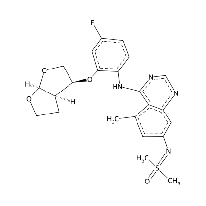 Cc1cc(N=S(C)(C)=O)cc2ncnc(Nc3ccc(F)cc3O[C@@H]3CO[C@@H]4OCC[C@@H]43)c12